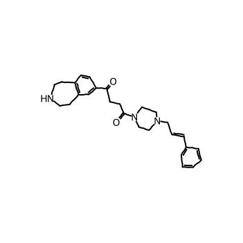 O=C(CCC(=O)N1CCN(C/C=C/c2ccccc2)CC1)c1ccc2c(c1)CCNCC2